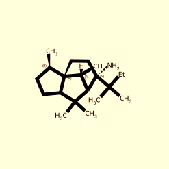 CCC(C)(C)[C@]1(N)CC[C@@]23C(CC[C@H]2C)C(C)(C)C1[C@H]3C